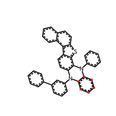 c1ccc(-c2cccc(N(c3ccccc3)c3ccc4c(sc5ccc6ccccc6c54)c3N(c3ccccc3)c3ccccc3)c2)cc1